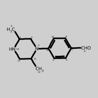 CC1CN(c2ccc(C=O)cc2)C(C)CN1